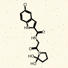 O=C(NCC(=O)N1CCCC1(O)O)c1cc2cc(Cl)ccc2[nH]1